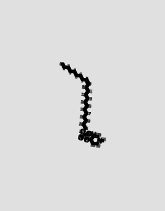 CCCCCCCC/C=C\CCCCCCCCCCCCOP(=O)(O)OC1CCN(C)CC1